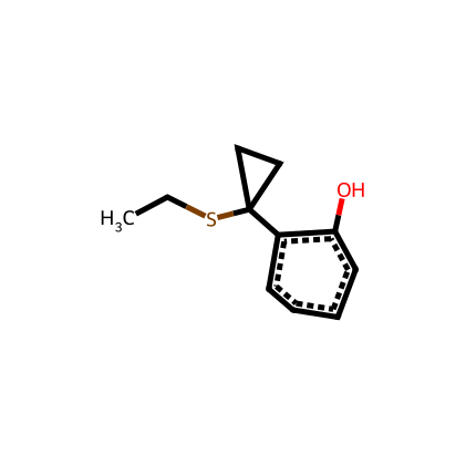 CCSC1(c2ccccc2O)CC1